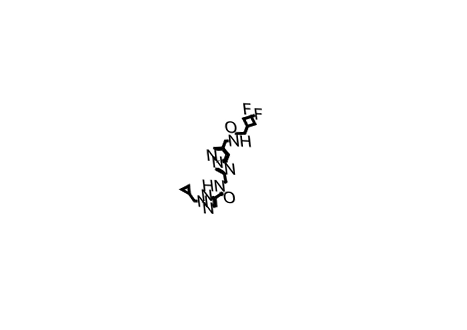 O=C(CC1CC(F)(F)C1)NCc1cnn2cc(CNC(=O)c3cnn(CC4CC4)n3)nc2c1